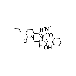 CC=Cc1ccc2n(c1=O)C[C@@H]1[C@@H](CO)[C@H](C(=O)N(C)C)[C@H]2N1CCc1ccccc1